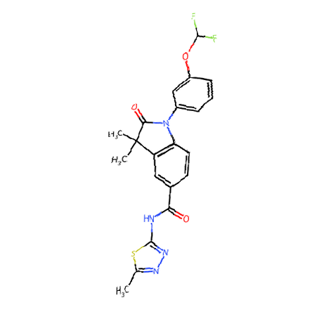 Cc1nnc(NC(=O)c2ccc3c(c2)C(C)(C)C(=O)N3c2cccc(OC(F)F)c2)s1